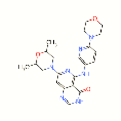 CC1CN(c2cc3nc[nH]c(=O)c3c(Nc3ccc(N4CCOCC4)nc3)n2)CC(C)O1